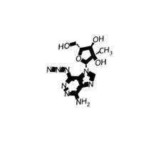 C[C@@]1(O)[C@H](O)[C@@H](CO)O[C@H]1n1cnc2c(N)nnc(N=[N+]=[N-])c21